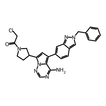 Nc1ncnn2c(C3CCN(C(=O)CCl)C3)cc(-c3ccc4cn(Cc5ccccc5)nc4c3)c12